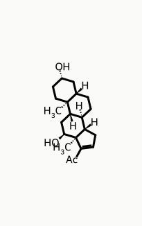 CC(=O)C1=CC[C@H]2[C@@H]3CC[C@H]4C[C@@H](O)CC[C@]4(C)[C@H]3C[C@H](O)[C@]12C